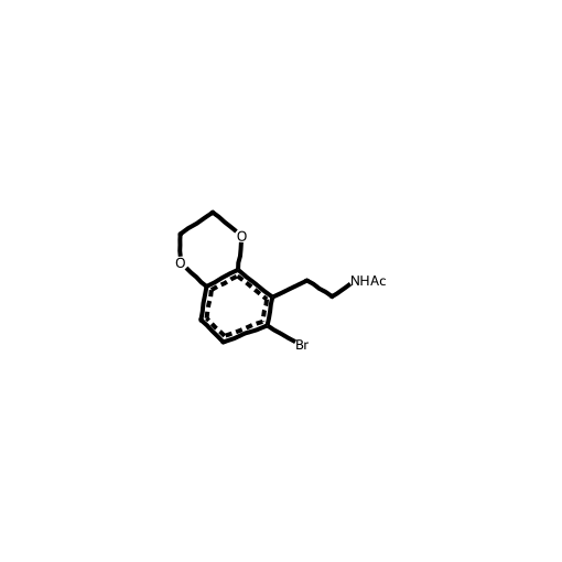 CC(=O)NCCc1c(Br)ccc2c1OCCO2